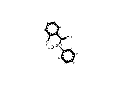 O=C(c1ccccc1O)[NH+]([O-])c1ccccc1